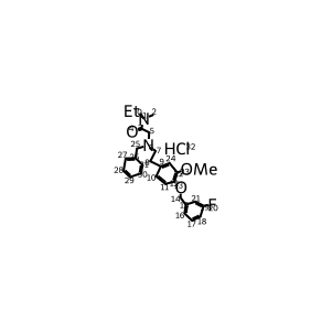 CCN(C)C(=O)CN(CCc1ccc(OCc2cccc(F)c2)c(OC)c1)Cc1ccccc1.Cl